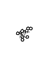 CC1(C)c2oc3c(ccc4c5ccccc5n(-c5nc(-c6ccccc6)c6ccccc6n5)c43)c2-c2ccc3ccccc3c21